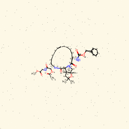 COC(=O)CNC(=O)C(OC(C)=O)[C@@H]1CCCCC=CCCCC[C@H](NC(=O)OCc2ccccc2)C(=O)N2C[C@@H]3OC(C)(C)C[C@@H]3[C@H]2C(=O)N1